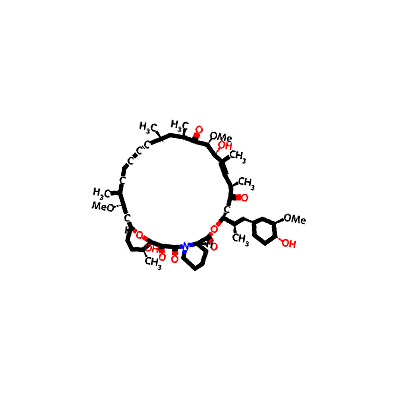 CO[C@H]1C[C@@H]2CC[C@@H](C)[C@@](O)(O2)C(=O)C(=O)N2CCCC[C@H]2C(=O)O[C@H]([C@H](C)C[C@@H]2CC[C@@H](O)[C@H](OC)C2)CC(=O)[C@H](C)/C=C(\C)[C@@H](O)[C@@H](OC)C(=O)[C@H](C)C[C@H](C)CCCCCC1C